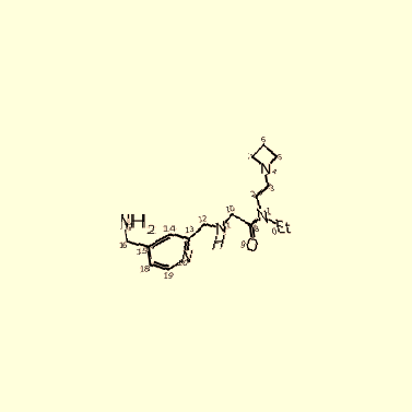 CCN(CCN1CCC1)C(=O)CNCc1cc(CN)ccn1